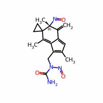 C=C1C2=CC(C)=C(CN(N=O)C(N)=O)C2=C(C)C2(CC2)[C@]1(C)N=O